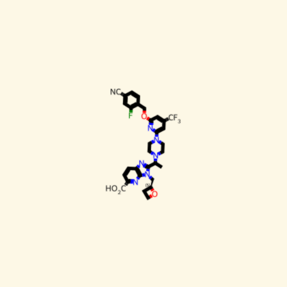 CC(c1nc2ccc(C(=O)O)nc2n1C[C@@H]1CCO1)N1CCN(c2cc(C(F)(F)F)cc(OCc3ccc(C#N)cc3F)n2)CC1